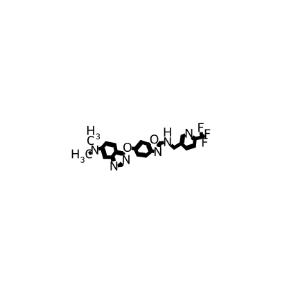 CN(C)c1ccc2c(Oc3ccc4nc(NCc5ccc(C(F)(F)F)nc5)oc4c3)ncnc2c1